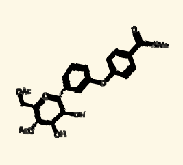 CNC(=O)c1ccc(Oc2cccc([C@H]3O[C@H](COC(C)=O)[C@@H](OC(C)=O)[C@H](O)[C@@H]3O)c2)cc1